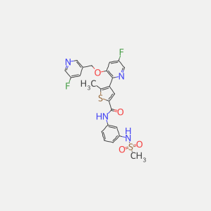 Cc1sc(C(=O)Nc2cccc(NS(C)(=O)=O)c2)cc1-c1ncc(F)cc1OCc1cncc(F)c1